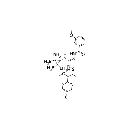 BC1(B)C(N/C(=N\NC(=O)c2cccc(OC)n2)NSC(C)C(OC)c2ncc(Cl)cn2)C1(B)B